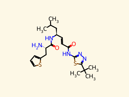 CC(C)C[C@@H](/C=C/C(=O)Nc1nnc(C(C)(C)C)s1)NC(=O)[C@@H](N)Cc1cccs1